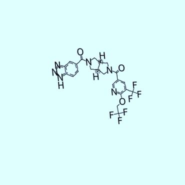 O=C(c1cnc(OCC(F)(F)F)c(C(F)(F)F)c1)N1C[C@H]2CN(C(=O)c3ccc4[nH]nnc4c3)C[C@@H]2C1